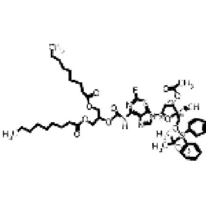 C#C[C@]1(CO[Si](c2ccccc2)(c2ccccc2)C(C)(C)C)O[C@@H](n2cnc3c(NC(=O)OC(COC(=O)CCCCCCCC)COC(=O)CCCCCCCC)nc(F)nc32)C[C@@H]1OC(C)=O